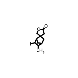 CC1C2CC(C1I)C1(COC(=O)C1)C2